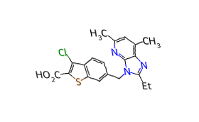 CCc1nc2c(C)cc(C)nc2n1Cc1ccc2c(Cl)c(C(=O)O)sc2c1